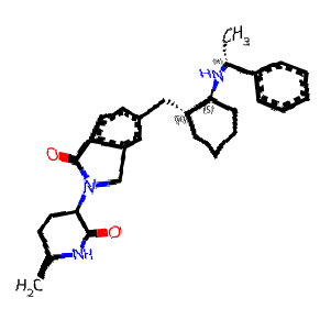 C=C1CCC(N2Cc3cc(C[C@H]4CCCC[C@@H]4N[C@H](C)c4ccccc4)ccc3C2=O)C(=O)N1